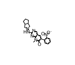 Cn1c(=O)c(-c2ccccc2[N+](=O)[O-])cc2cnc(NN3CC4CCCC4C3)nc21